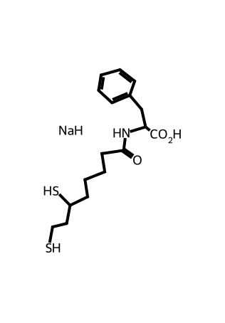 O=C(CCCCC(S)CCS)NC(Cc1ccccc1)C(=O)O.[NaH]